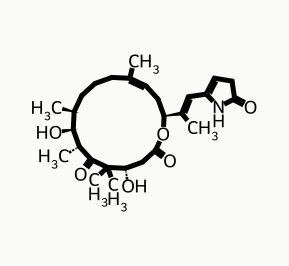 C/C1=C/C[C@@H](/C(C)=C/C2=CCC(=O)N2)OC(=O)C[C@H](O)C(C)(C)C(=O)[C@H](C)[C@@H](O)[C@@H](C)CCC1